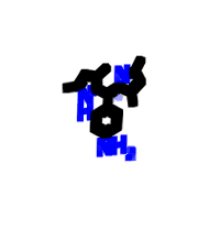 CC1=CC(C)=N/C1=C(/c1ccc(N)cc1)c1[nH]c(C)cc1C